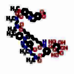 COc1ccc2cc3[n+](cc2c1OC(=O)N(C)CCN(C)C(=O)OCCCCCCCCCC(=O)Nc1cc(COC(=O)N(C)CCN(C)C(=O)C2C=Cc4c2ncnc4N(C)[C@H]2CC[C@H](C)CC2)ccc1O[C@@H]1O[C@H](C(=O)O)[C@@H](O)[C@H](O)[C@H]1O)CCc1cc2c(cc1-3)OCO2